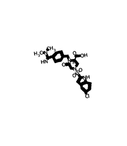 CN(C)C(=N)c1ccc(CN2C(=O)CN(S(=O)(=O)c3cc4cc(Cl)ccc4[nH]3)C[C@@H]2C(=O)O)cc1